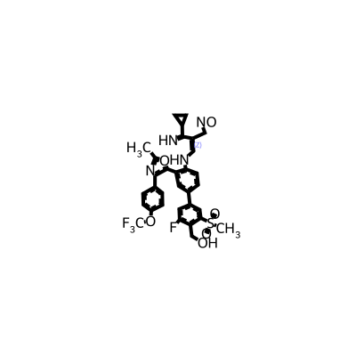 Cc1nc(-c2ccc(OC(F)(F)F)cc2)c(-c2cc(-c3cc(F)c(CO)c(S(C)(=O)=O)c3)ccc2N/C=C(/CN=O)C(=N)C2CC2)o1